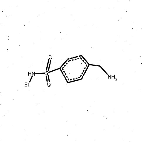 CCNS(=O)(=O)c1ccc(CN)cc1